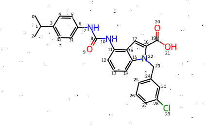 CC(C)c1ccc(NC(=O)Nc2cccc3c2cc(C(=O)O)n3Cc2cccc(Cl)c2)cc1